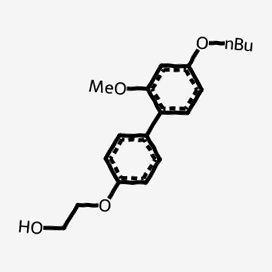 CCCCOc1ccc(-c2ccc(OCCO)cc2)c(OC)c1